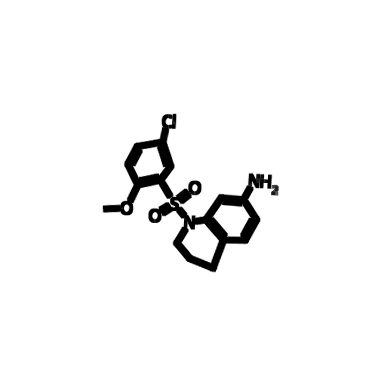 COc1ccc(Cl)cc1S(=O)(=O)N1CCCc2ccc(N)cc21